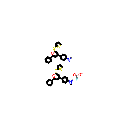 CN(C)c1ccc(-c2cc(Sc3cccs3)[o+]c(-c3ccccc3)c2)cc1.CN(C)c1ccc(-c2cc(Sc3cccs3)[o+]c(-c3ccccc3)c2)cc1.[O-]B([O-])F